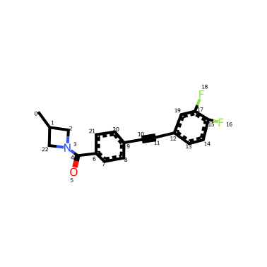 CC1CN(C(=O)c2ccc(C#Cc3ccc(F)c(F)c3)cc2)C1